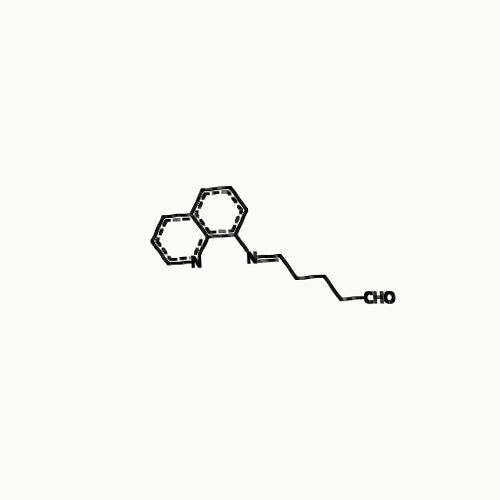 O=CCCCC=Nc1cccc2cccnc12